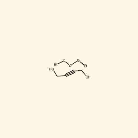 CCOOOCC.OCC#CCO